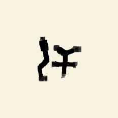 N#CCCO.O=C(O)C(F)(F)F